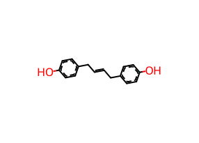 Oc1ccc(C/C=C/Cc2ccc(O)cc2)cc1